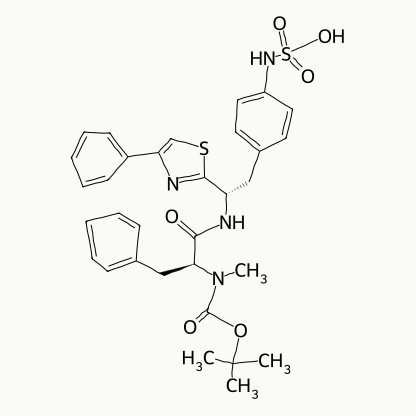 CN(C(=O)OC(C)(C)C)[C@@H](Cc1ccccc1)C(=O)N[C@@H](Cc1ccc(NS(=O)(=O)O)cc1)c1nc(-c2ccccc2)cs1